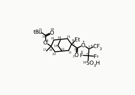 CCC1(C(=O)OC(C(F)(F)F)C(F)(F)S(=O)(=O)O)CC2CC(CC(C)(OC(=O)C(C)(C)C)C2)C1